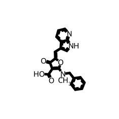 CN(Cc1ccccc1)C1=C(C(=O)O)C(=O)/C(=C/c2c[nH]c3ncccc23)O1